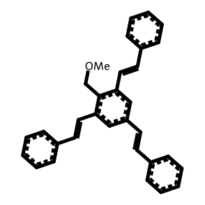 [CH2]OCc1c(/C=C/c2ccccc2)cc(/C=C/c2ccccc2)cc1/C=C/c1ccccc1